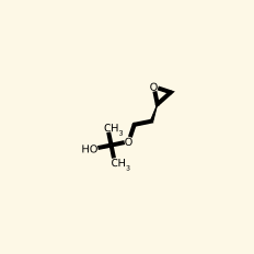 CC(C)(O)OCC[C@@H]1CO1